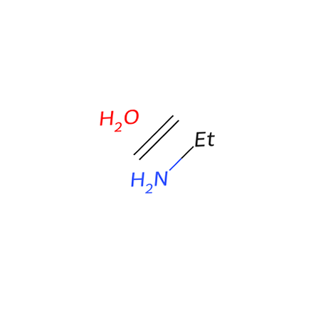 C=C.CCN.O